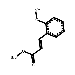 CCCOc1ccccc1C=CC(=O)OC(C)(C)C